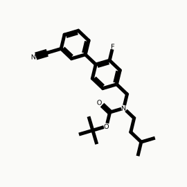 CC(C)CCN(Cc1ccc(-c2cccc(C#N)c2)c(F)c1)C(=O)OC(C)(C)C